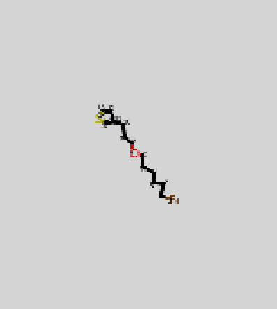 BrCCCCCCOCCCc1ccsc1